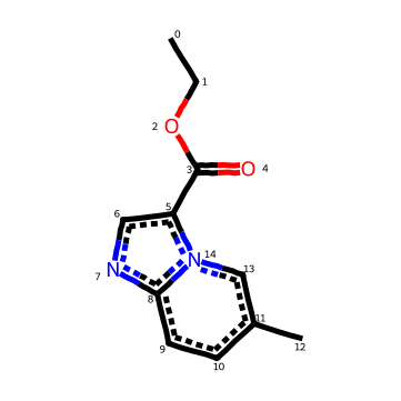 CCOC(=O)c1cnc2ccc(C)cn12